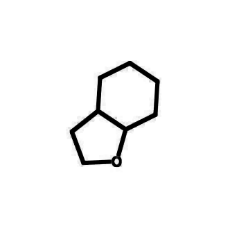 C1CCC2OCCC2C1